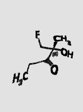 CCC(=O)[C@@](C)(O)CF